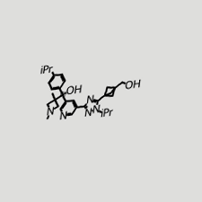 CC(C)c1ccc([C@](O)(c2cncc(-c3nc(C45CC(CO)(C4)C5)n(C(C)C)n3)c2)C2(C)CN(C)C2)cc1